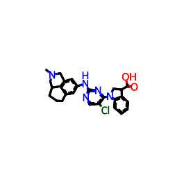 CN1Cc2cc(Nc3ncc(Cl)c(N4CC(C(=O)O)c5ccccc54)n3)cc3c2C(CCC3)C1